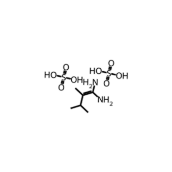 CC(=C(N)N)C(C)C.O=S(=O)(O)O.O=S(=O)(O)O